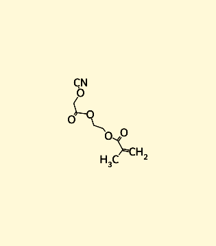 C=C(C)C(=O)OCCOC(=O)COC#N